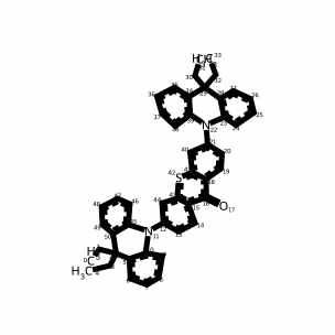 CCC1(CC)c2ccccc2N(c2ccc3c(=O)c4ccc(N5c6ccccc6C(CC)(CC)c6ccccc65)cc4sc3c2)c2ccccc21